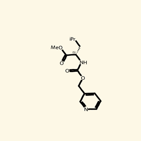 COC(=O)[C@H](CC(C)C)NC(=O)OCc1cccnc1